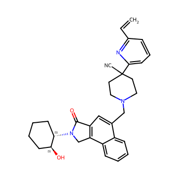 C=Cc1cccc(C2(C#N)CCN(Cc3cc4c(c5ccccc35)CN([C@H]3CCCC[C@@H]3O)C4=O)CC2)n1